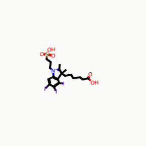 CC1=[N+](CCCS(=O)(=O)O)c2cc(I)c(I)c(I)c2C1(C)CCCCCC(=O)O